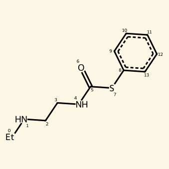 CCNCCNC(=O)Sc1ccccc1